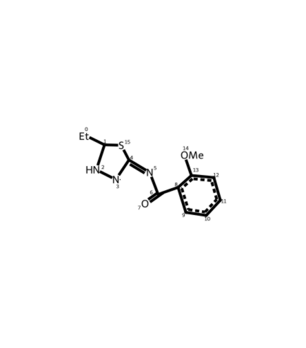 CCC1N[N]C(=NC(=O)c2ccccc2OC)S1